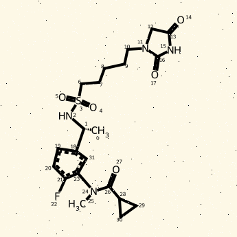 C[C@@H](NS(=O)(=O)CCCCCN1CC(=O)NC1=O)c1ccc(F)c(N(C)C(=O)C2CC2)c1